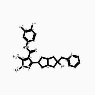 Cn1nc(C2CC3CC(O)(Cc4ccccn4)CC3C2)c(C(=O)Nc2ccc(F)c(Cl)c2)c1N